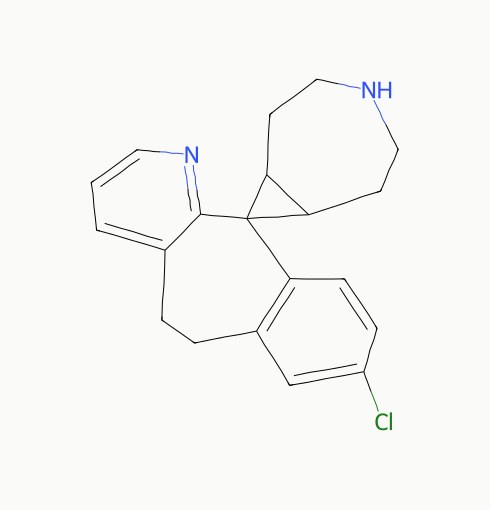 Clc1ccc2c(c1)CCc1cccnc1C21C2CCNCCC21